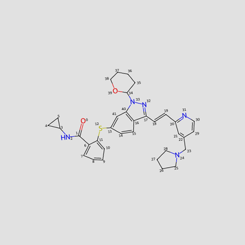 O=C(NC1CC1)c1ccccc1Sc1ccc2c(/C=C/c3cc(CN4CCCC4)ccn3)nn(C3CCCCO3)c2c1